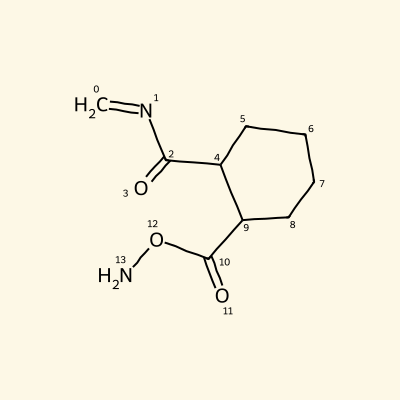 C=NC(=O)C1CCCCC1C(=O)ON